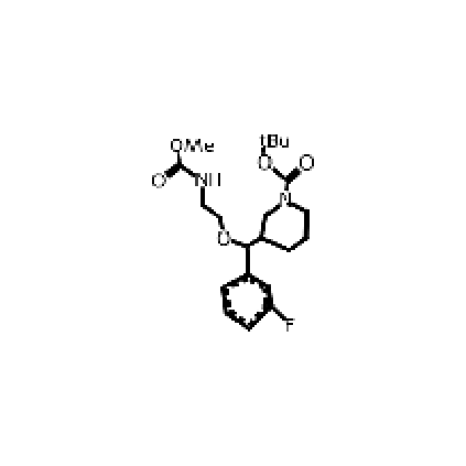 COC(=O)NCCOC(c1cccc(F)c1)C1CCCN(C(=O)OC(C)(C)C)C1